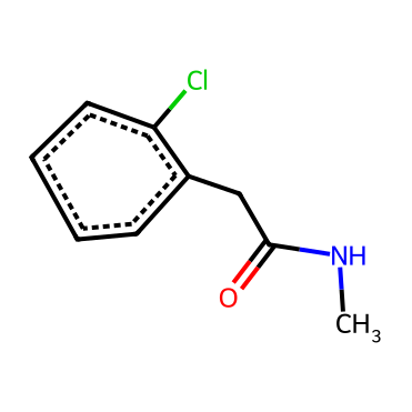 CNC(=O)Cc1ccccc1Cl